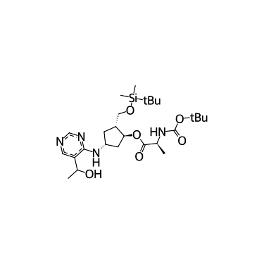 CC(O)c1cncnc1N[C@@H]1C[C@H](CO[Si](C)(C)C(C)(C)C)[C@@H](OC(=O)[C@H](C)NC(=O)OC(C)(C)C)C1